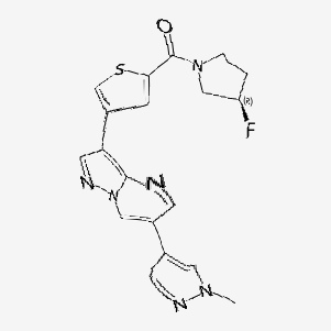 Cn1cc(-c2cnc3c(-c4csc(C(=O)N5CC[C@@H](F)C5)c4)cnn3c2)cn1